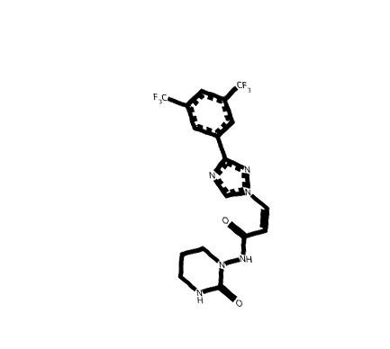 O=C(/C=C\n1cnc(-c2cc(C(F)(F)F)cc(C(F)(F)F)c2)n1)NN1CCCNC1=O